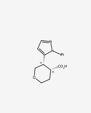 CC(C)n1nccc1[C@H]1COCC[C@H]1C(=O)O